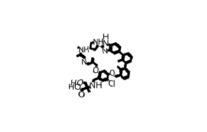 C=C(/C=N\C=C(/C)NC)COc1cc(OCc2cccc(-c3cccc(-c4ccc5[nH]c([C@@H]6CCCN6)nc5c4)c3C)c2C)c(Cl)cc1CNC(C)(CO)C(=O)O